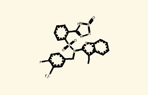 Cc1c(N(Cc2ccc(F)c(C(F)(F)F)c2)S(=O)(=O)c2ccccc2C2=NOS(=O)N2)sc2ccccc12